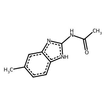 CC(=O)Nc1nc2cc(C)ccc2[nH]1